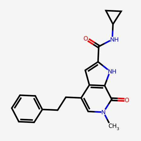 Cn1cc(CCc2ccccc2)c2cc(C(=O)NC3CC3)[nH]c2c1=O